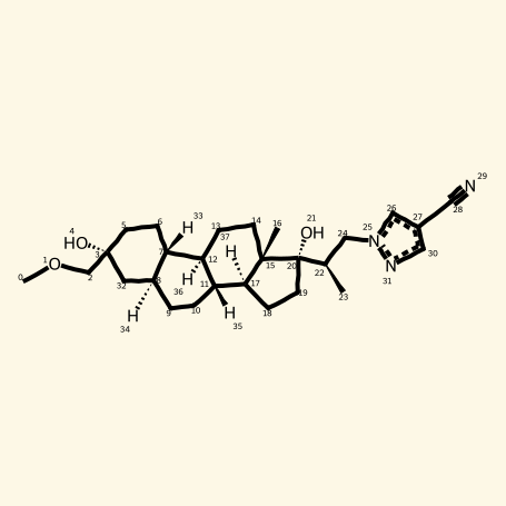 COC[C@@]1(O)CC[C@H]2[C@@H](CC[C@@H]3[C@@H]2CC[C@@]2(C)[C@H]3CC[C@]2(O)[C@H](C)Cn2cc(C#N)cn2)C1